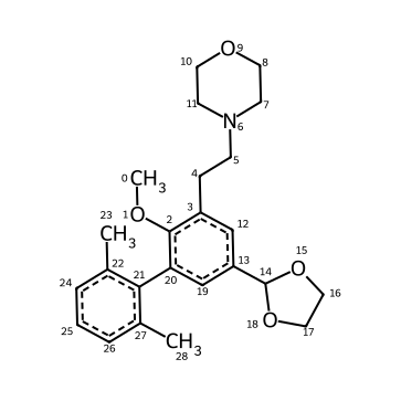 COc1c(CCN2CCOCC2)cc(C2OCCO2)cc1-c1c(C)cccc1C